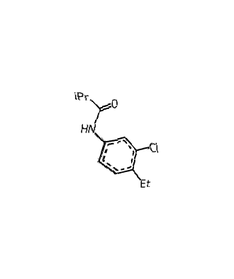 CCc1ccc(NC(=O)C(C)C)cc1Cl